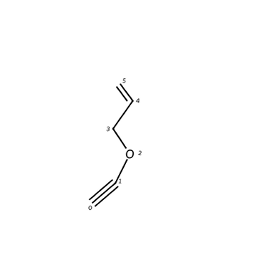 C#COCC=C